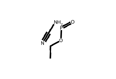 CCOP=O.N#CN